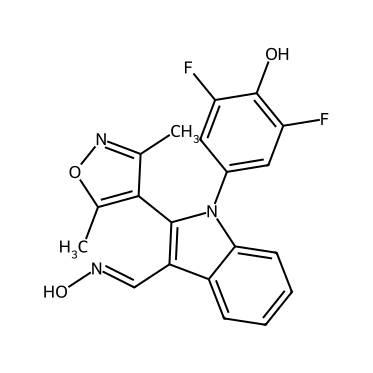 Cc1noc(C)c1-c1c(C=NO)c2ccccc2n1-c1cc(F)c(O)c(F)c1